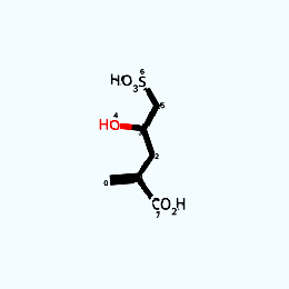 C=C(CC(O)CS(=O)(=O)O)C(=O)O